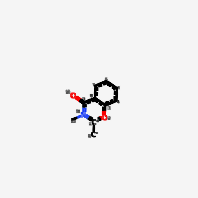 [CH2-][c+]1oc2ccccc2c(=O)n1C